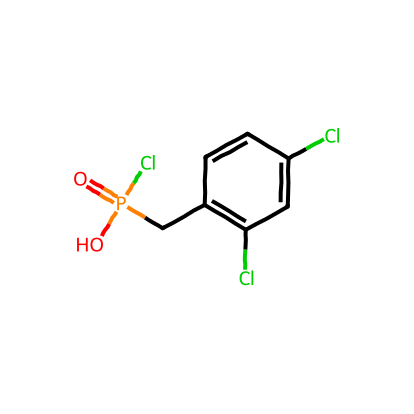 O=P(O)(Cl)Cc1ccc(Cl)cc1Cl